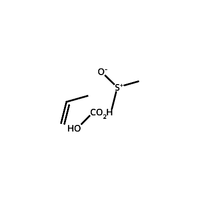 C=CC.C[S+](C)[O-].O=C(O)O